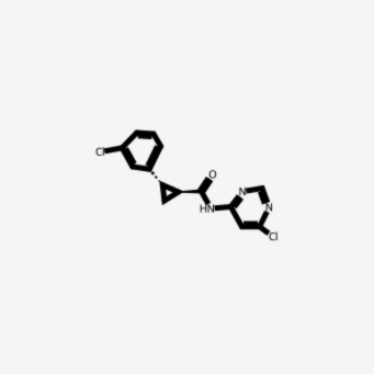 O=C(Nc1cc(Cl)ncn1)[C@H]1C[C@@H]1c1cccc(Cl)c1